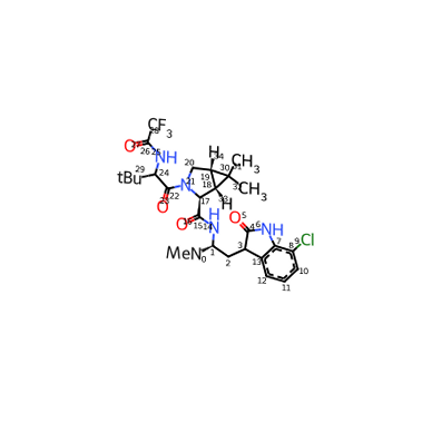 CN[C@H](CC1C(=O)Nc2c(Cl)cccc21)NC(=O)[C@@H]1[C@@H]2[C@H](CN1C(=O)C(NC(=O)C(F)(F)F)C(C)(C)C)C2(C)C